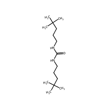 CC(C)(C)CCCNC(=O)NCCCC(C)(C)C